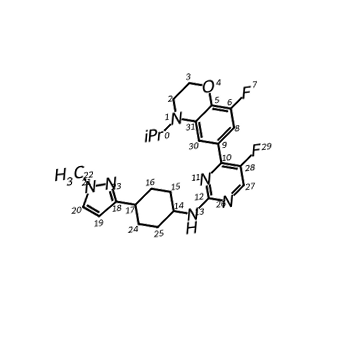 CC(C)N1CCOc2c(F)cc(-c3nc(NC4CCC(c5ccn(C)n5)CC4)ncc3F)cc21